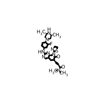 C[C@@H]1CN(c2ccc(Nc3ncc4cc(C#CC(=O)N(C)C)c(=O)n(-c5nccs5)c4n3)cc2F)C[C@H](C)N1